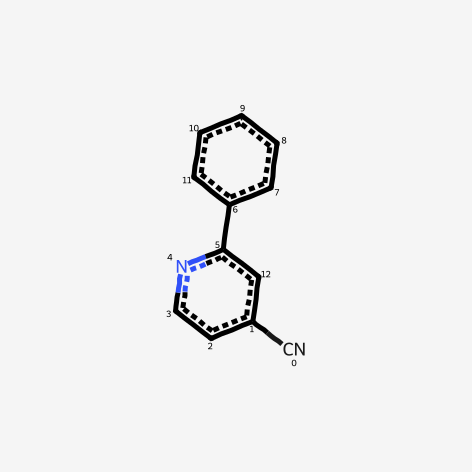 N#Cc1ccnc(-c2cc[c]cc2)c1